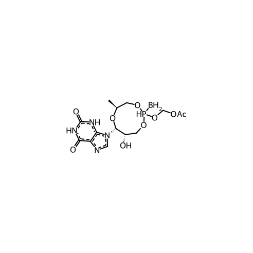 B[PH]1(OCOC(C)=O)OC[C@H](C)O[C@@H](n2cnc3c(=O)[nH]c(=O)[nH]c32)[C@@H](O)CO1